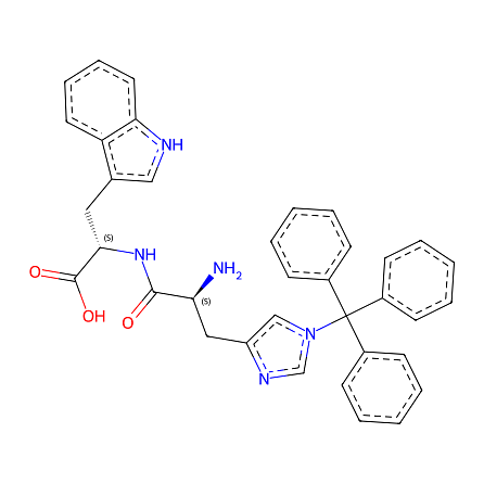 N[C@@H](Cc1cn(C(c2ccccc2)(c2ccccc2)c2ccccc2)cn1)C(=O)N[C@@H](Cc1c[nH]c2ccccc12)C(=O)O